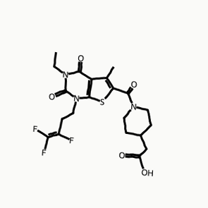 CCn1c(=O)c2c(C)c(C(=O)N3CCC(CC(=O)O)CC3)sc2n(CCC(F)=C(F)F)c1=O